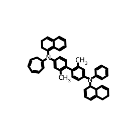 Cc1cc(N(C2=CC=CC=CC2)C2=c3ccccc3=CCC2)ccc1-c1ccc(N(c2ccccc2)C2C=CC=C3CCC=CC32)cc1C